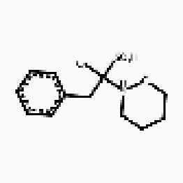 O=S(=O)(O)C(Cl)(Cc1ccccc1)[SiH]1CCCCO1